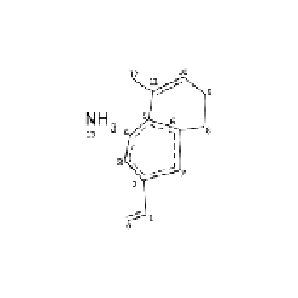 C=Cc1ccc2c(c1)CCC=C2C.N